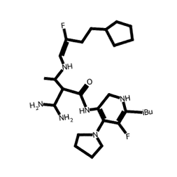 CCC(C)C1=C(F)C(N2CCCC2)=C(NC(=O)C(C(N)N)C(C)N/C=C(/F)CCC2CCCC2)CN1